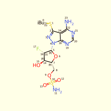 CC[C@H](C)Sc1nn([C@@H]2O[C@H](COS(N)(=O)=O)[C@@H](O)[C@@H]2F)c2ncnc(N)c12